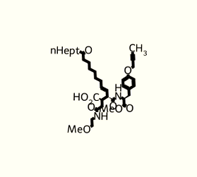 CC#CCOc1ccc(C[C@H](NC(=O)[C@@H](/C=C/CCCCCCC(=O)CCCCCCC)[C@@H](CC(=O)NCCOC)C(=O)O)C(=O)OC)cc1